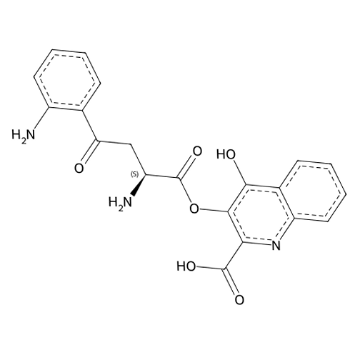 Nc1ccccc1C(=O)C[C@H](N)C(=O)Oc1c(C(=O)O)nc2ccccc2c1O